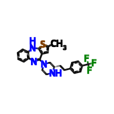 Cc1cc2c(s1)Nc1ccccc1N=C2N1CCN[C@@H](CCc2ccc(C(F)(F)F)cc2)C1